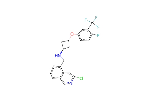 Fc1ccc(O[C@H]2C[C@H](NCc3cccc4cnc(Cl)cc34)C2)cc1C(F)(F)F